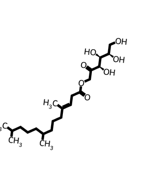 C/C(=C\CC(=O)OCC(=O)[C@H](O)[C@@H](O)[C@H](O)CO)CCCC(C)CCCC(C)C